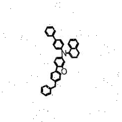 C1=C(N(c2ccc(-c3ccccc3)cc2)c2ccc3c(c2)oc2cc(Cc4ccccc4)ccc23)c2ccccc2CC1